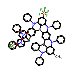 Cc1cc2c3c(c1)N(c1ccccc1)c1cc4c(cc1B3c1ccccc1N2c1ccccc1)B1c2cc3c(cc2N(c2ccccc2)c2cc(S(F)(F)(F)(F)F)cc(c21)N4c1ccccc1)N(c1ccccc1)c1cc(S(F)(F)(F)(F)F)cc2c1B3c1ccccc1N2c1ccccc1